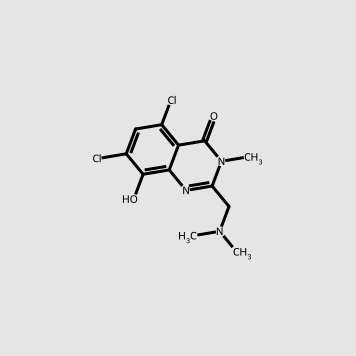 CN(C)Cc1nc2c(O)c(Cl)cc(Cl)c2c(=O)n1C